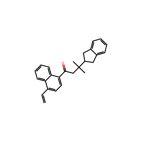 C=Cc1ccc(C(=O)CC(C)(C)C2Cc3ccccc3C2)c2ccccc12